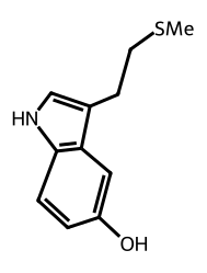 CSCCc1c[nH]c2ccc(O)cc12